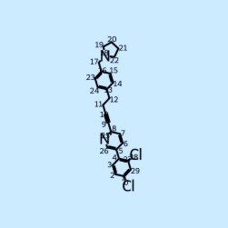 Clc1ccc(-c2ccc(C#CCCc3ccc(CN4CCCC4)cc3)nc2)c(Cl)c1